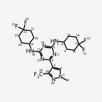 Cn1cc(-c2nc(NC3CCC(F)(F)CC3)nc(NC3CCC(F)(F)CC3)n2)c(C(F)(F)F)n1